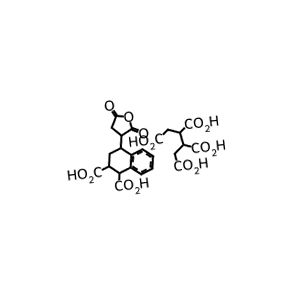 O=C(O)CC(C(=O)O)C(CC(=O)O)C(=O)O.O=C1CC(C2CC(C(=O)O)C(C(=O)O)c3ccccc32)C(=O)O1